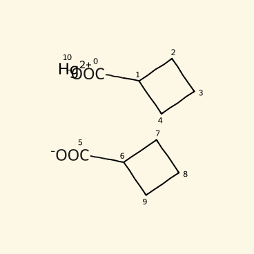 O=C([O-])C1CCC1.O=C([O-])C1CCC1.[Hg+2]